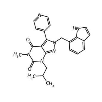 CC(C)Cn1c(=O)n(C)c(=O)c2c(-c3ccncc3)n(Cc3cccc4cc[nH]c34)nc21